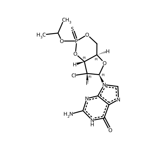 CC(C)OP1(=S)OC[C@H]2O[C@@H](n3cnc4c(=O)[nH]c(N)nc43)[C@](F)(Cl)[C@@H]2O1